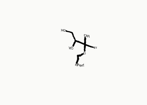 CCCCCCOC(O)(CC)C(O)CO